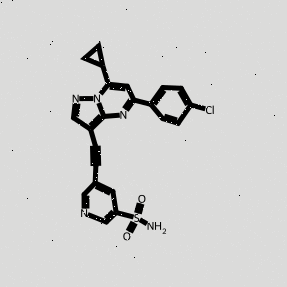 NS(=O)(=O)c1cncc(C#Cc2cnn3c(C4CC4)cc(-c4ccc(Cl)cc4)nc23)c1